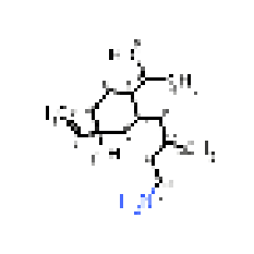 C=CC1(C)CCC(C(C)C)C(CC(C)CCN)C1